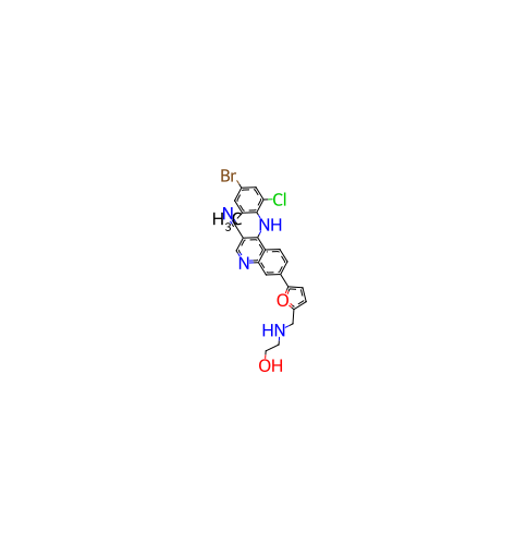 Cc1cc(Br)cc(Cl)c1Nc1c(C#N)cnc2cc(-c3ccc(CNCCO)o3)ccc12